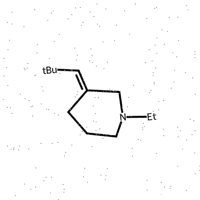 CCN1CCC/C(=C\C(C)(C)C)C1